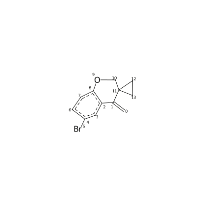 C=C1c2cc(Br)ccc2OCC12CC2